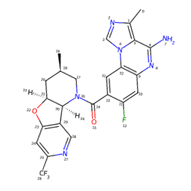 Cc1ncn2c1c(N)nc1cc(F)c(C(=O)N3C[C@H](C)C[C@@H]4Oc5cc(C(F)(F)F)ncc5[C@@H]43)cc12